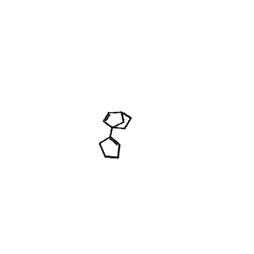 C1=CC2(C3=CCCC3)CCC1C2